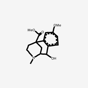 COC(=O)C12CCN(C)C(C1)C(O)c1ccc(OC)cc12